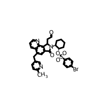 Cc1ccc(Cc2cc3c(c4ncccc24)C(CC=O)N([C@H]2CCCC[C@@H]2OS(=O)(=O)c2ccc(Br)cc2)C3=O)cn1